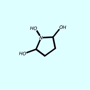 OC1CCC(O)N1O